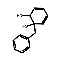 OC1C=CC=CC1(O)Cc1ccccc1